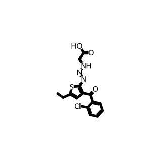 CCc1cc(C(=O)c2ccccc2Cl)c(N=NNCC(=O)O)s1